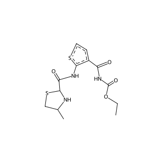 CCOC(=O)NC(=O)c1ccsc1NC(=O)C1NC(C)CS1